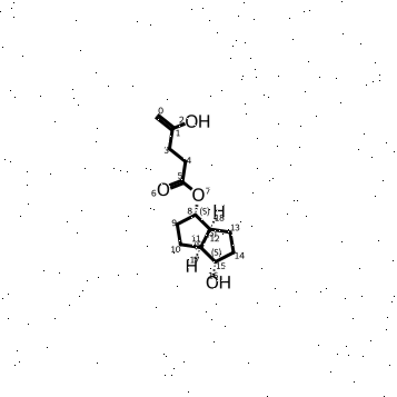 C=C(O)CCC(=O)O[C@H]1CC[C@H]2[C@@H]1CC[C@@H]2O